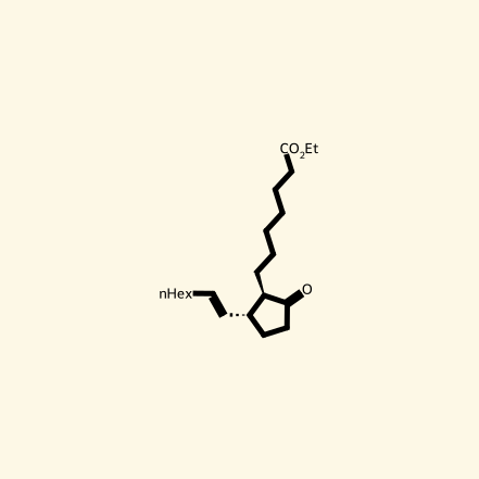 CCCCCCC=C[C@H]1CCC(=O)[C@@H]1CCCCCCC(=O)OCC